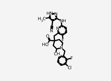 Cc1[nH]nc(Nc2ccc(F)c(CC3(C(=O)O)CCN(Cc4cccc(Cl)c4F)C(C)C3)n2)c1C#N